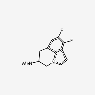 CNC1Cc2cc(F)c(F)c3ccn(c23)C1